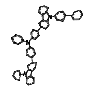 c1ccc(-c2ccc(-n3c4ccccc4c4cc(-c5ccc(N(c6ccccc6)c6ccc(-c7ccc8c9ccccc9n(-c9ccccc9)c8c7)cc6)cc5)ccc43)cc2)cc1